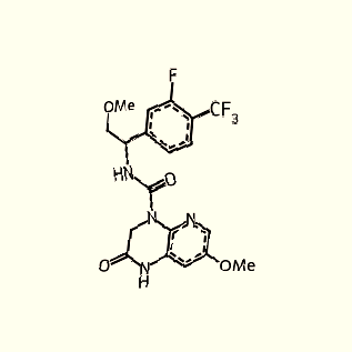 COCC(NC(=O)N1CC(=O)Nc2cc(OC)cnc21)c1ccc(C(F)(F)F)c(F)c1